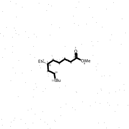 CC[C@H](CCCCC(=O)OC)CCC(C)(C)C